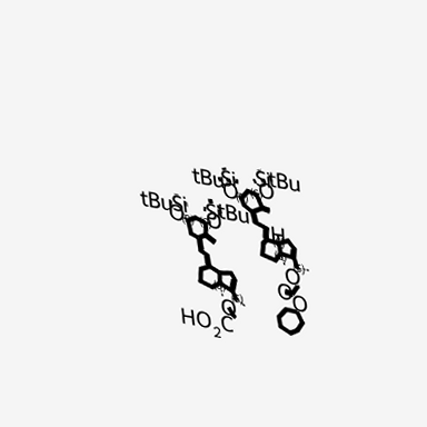 C=C1C(=CC=C2CCC[C@]3(C)C([C@H](C)OCC(=O)O)=CCC23)C[C@@H](O[Si](C)(C)C(C)(C)C)C[C@@H]1O[Si](C)(C)C(C)(C)C.C=C1C(=CC=C2CCC[C@]3(C)C([C@H](C)OCC(=O)OC4CCCCCC4)=CC[C@@H]23)C[C@@H](O[Si](C)(C)C(C)(C)C)C[C@@H]1O[Si](C)(C)C(C)(C)C